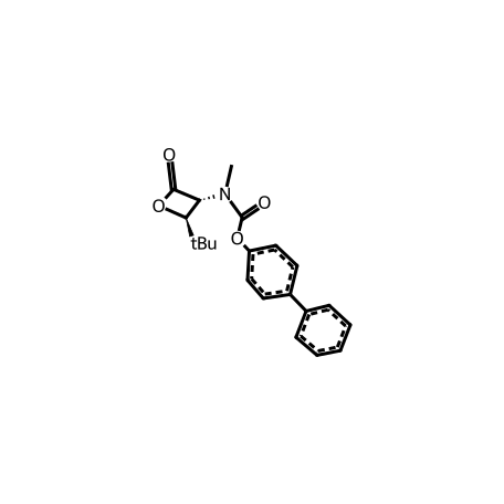 CN(C(=O)Oc1ccc(-c2ccccc2)cc1)[C@H]1C(=O)O[C@@H]1C(C)(C)C